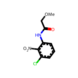 COCC(=O)Nc1cccc(Cl)c1[N+](=O)[O-]